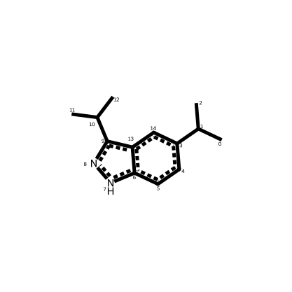 CC(C)c1ccc2[nH]nc(C(C)C)c2c1